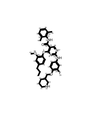 CCCc1ccc(Oc2nc(Nc3ccc(OCC4CCCNC4)c(F)c3)ncc2C(=O)Nc2c(C)cccc2C)c(OC)c1